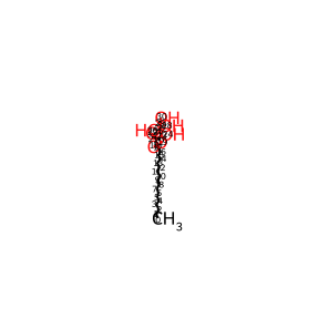 CCCCCCCCC=CCCCCCCCC(=O)O[C@@H](C=O)[C@@H](O)[C@H](O)[C@H](O)CO